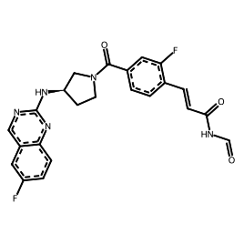 O=CNC(=O)C=Cc1ccc(C(=O)N2CC[C@@H](Nc3ncc4cc(F)ccc4n3)C2)cc1F